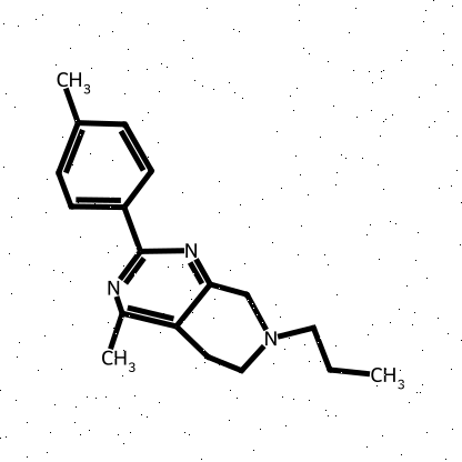 CCCN1CCc2c(C)nc(-c3ccc(C)cc3)nc2C1